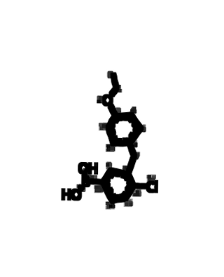 CCOc1ccc(Cc2cc(B(O)O)ccc2Cl)cc1